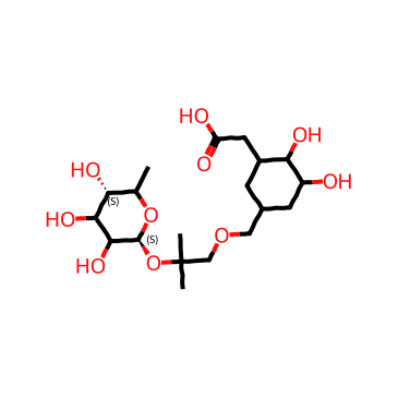 CC1O[C@@H](OC(C)(C)COCC2CC(O)C(O)C(CC(=O)O)C2)C(O)C(O)[C@@H]1O